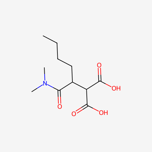 CCCCC(C(=O)N(C)C)C(C(=O)O)C(=O)O